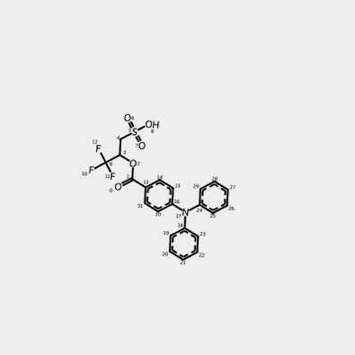 O=C(OC(CS(=O)(=O)O)C(F)(F)F)c1ccc(N(c2ccccc2)c2ccccc2)cc1